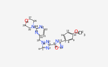 Cc1nc(-c2nc(-c3ccc(OC(F)(F)F)cc3)no2)nn1Cc1ccnc(N2CCOCC2)n1